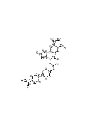 COc1cc(N2CCC(CN3CCN(c4ccc(C(=O)O)nc4)CC3)CC2)c(-c2cnn(C)c2)cc1[N+](=O)[O-]